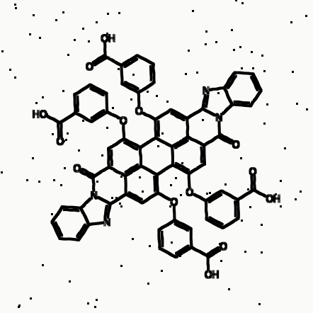 O=C(O)c1cccc(Oc2cc3c(=O)n4c5ccccc5nc4c4cc(Oc5cccc(C(=O)O)c5)c5c6c(Oc7cccc(C(=O)O)c7)cc7c(=O)n8c9ccccc9nc8c8cc(Oc9cccc(C(=O)O)c9)c(c2c5c34)c6c78)c1